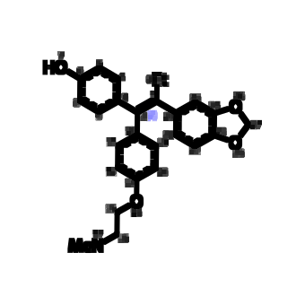 CC/C(=C(\c1ccc(O)cc1)c1ccc(OCCNC)cc1)c1ccc2c(c1)OCO2